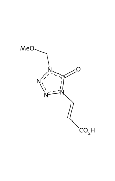 COCn1nnn(C=CC(=O)O)c1=O